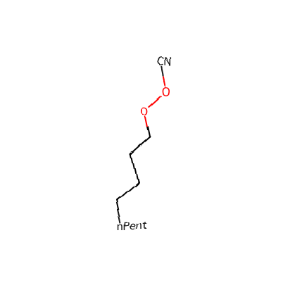 CCCCCCCCCOOC#N